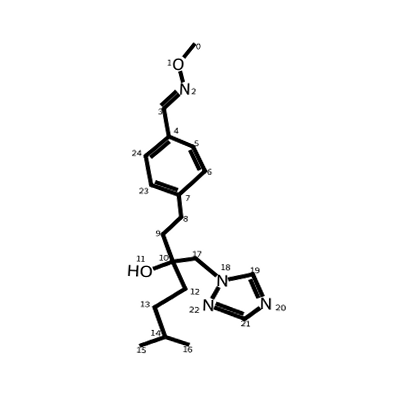 CON=Cc1ccc(CCC(O)(CCC(C)C)Cn2cncn2)cc1